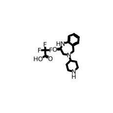 O=C(O)C(F)(F)F.O=C1CN(C2CCNCC2)Cc2ccccc2N1